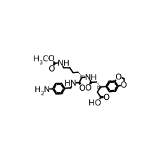 COC(=O)NCCCC[C@H](NC(=O)C[C@@H](CC(=O)O)c1ccc2c(c1)OCO2)C(=O)NCc1ccc(N)cc1